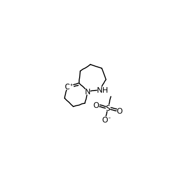 CS(=O)(=O)[O-].[C+]1=C2CCCCNN2CCC1